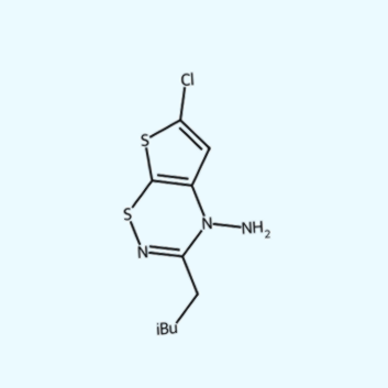 CCC(C)CC1=NSc2sc(Cl)cc2N1N